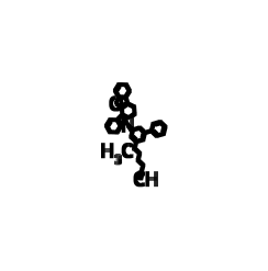 C#CCCCC(C)C1=CC(n2c3c(c4c2CCc2c-4oc4c2CCC=C4)C=CCC3)CC(c2ccccc2)=C1